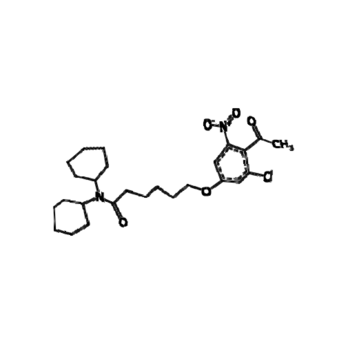 CC(=O)c1c(Cl)cc(OCCCCCC(=O)N(C2CCCCC2)C2CCCCC2)cc1[N+](=O)[O-]